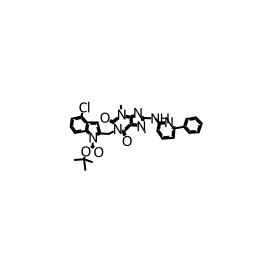 Cn1c(Nc2cccc(-c3ccccc3)n2)nc2c1c(=O)n(Cc1cc3c(Cl)cccc3n1C(=O)OC(C)(C)C)c(=O)n2C